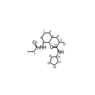 CCC(=O)NC1CCCC(CC(C)C(=O)NC2CCCC2)C1